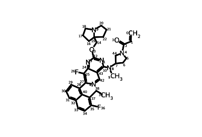 C=CC(=O)N1CCC(N(C)c2nc(OCC34CCCN3CCC4)nc3c(F)c(-c4cccc5ccc(F)c(CC)c45)ncc23)C1